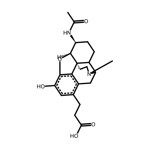 CC(=O)N[C@H]1CCC2C3Cc4c(CCC(=O)O)cc(O)c5c4[C@@]2(CCN3C)[C@H]1O5